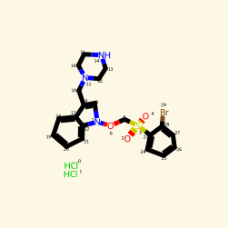 Cl.Cl.O=S(=O)(COn1cc(CN2CCNCC2)c2ccccc21)c1ccccc1Br